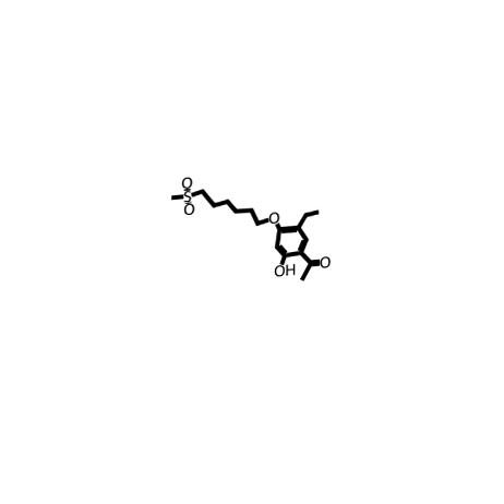 CCc1cc(C(C)=O)c(O)cc1OCCCCCCS(C)(=O)=O